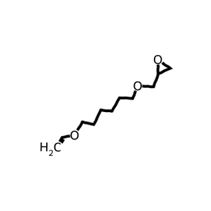 C=COCCCCCCOCC1CO1